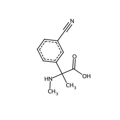 CNC(C)(C(=O)O)c1cccc(C#N)c1